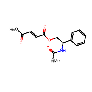 CNC(=O)N[C@@H](COC(=O)/C=C/C(=O)OC)c1ccccc1